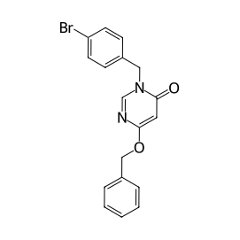 O=c1cc(OCc2ccccc2)ncn1Cc1ccc(Br)cc1